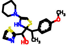 COc1ccc(C(C)C2(C(O)c3nccs3)NC(N3CCCCC3)=CS2)cc1